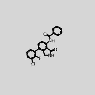 O=C(Nc1ccc(-c2cccc(Cl)c2F)c2c1C(=O)NC2)c1ccccc1